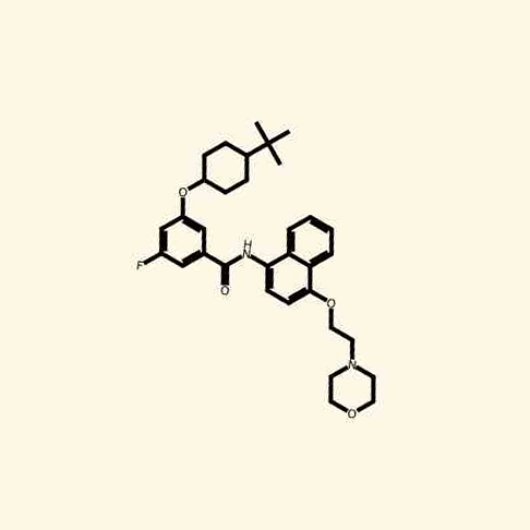 CC(C)(C)C1CCC(Oc2cc(F)cc(C(=O)Nc3ccc(OCCN4CCOCC4)c4ccccc34)c2)CC1